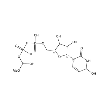 COP(O)OP(=O)(O)OP(=O)(O)OC[C@H]1O[C@@H](N2C=CC(O)NC2=O)C(O)C1O